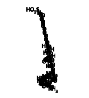 CCn1nc(C)cc1C(=O)Nc1nc2cc(C(N)=O)cc(OC)c2n1C/C=C/Cn1c(NC(=O)c2cc(C)nn2CC)nc2cc(C(N)=O)cc(OCCCOC(=O)[C@H](C)NC(=O)CCOCCOCCNC(=O)CC[C@H](NC(=O)CN3C(=O)C=CC3=O)C(=O)NCC(=O)NCC(=O)NCC(=O)NCC(=O)NCCOCCOCCOCCOCCOCCOCCOCCOCCC(=O)N3CCN(CCS(=O)(=O)O)CC3)c21